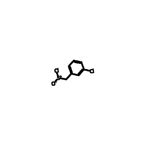 [O-][S+](Cl)Cc1cccc(Cl)c1